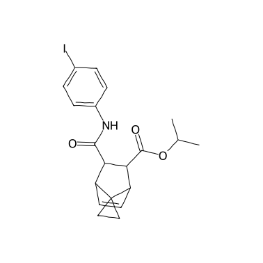 CC(C)OC(=O)C1C(C(=O)Nc2ccc(I)cc2)C2C=CC1C21CC1